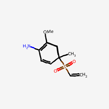 C=CS(=O)(=O)C1(C)C=CC(N)=C(OC)C1